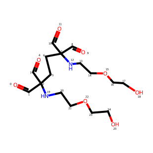 O=CC(C=O)(CCC(C=O)(C=O)NCCOCCO)NCCOCCO